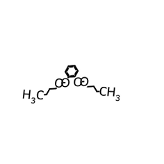 CCCCOOc1ccccc1OOCCCC